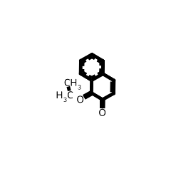 CC.O=C1C=Cc2ccccc2C1=O